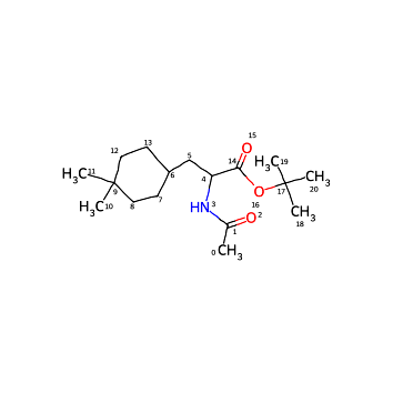 CC(=O)NC(CC1CCC(C)(C)CC1)C(=O)OC(C)(C)C